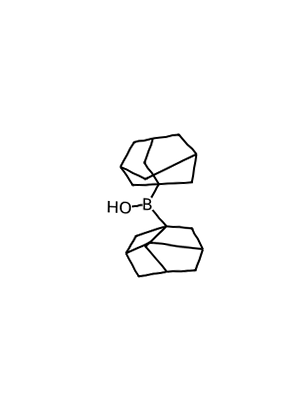 OB(C12CC3CC(CC(C3)C1)C2)C12CC3CC(CC(C3)C1)C2